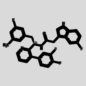 Cc1cc(F)cc(C[C@H](NC(=O)Cc2c[nH]c3ccc(F)cc23)c2ncccc2-c2ccc(F)c(F)c2)c1